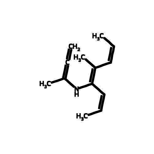 C=C=C(C)NC(/C=C\C)=C(C)/C=C\C